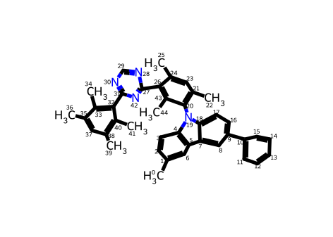 Cc1ccc2c(c1)c1cc(-c3ccccc3)ccc1n2-c1c(C)cc(C)c(-c2ncnc(-c3c(C)c(C)cc(C)c3C)n2)c1C